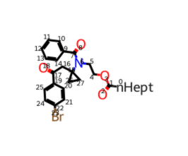 CCCCCCCC(=O)OCCN(C(=O)c1ccccc1)C1(CC(=O)c2ccc(Br)cc2)CC1